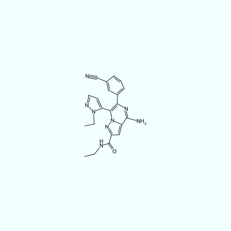 CCNC(=O)c1cc2c(N)nc(-c3cccc(C#N)c3)c(-c3ccnn3CC)n2n1